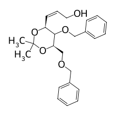 CC1(C)O[C@@H](/C=C\CO)C(OCc2ccccc2)[C@@H](COCc2ccccc2)O1